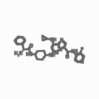 N[C@@H](C(=O)NC1CCC(Nc2cc(NC3CC3)c3ncc(C(=O)Nc4ccncc4F)n3n2)CC1)c1ccccc1